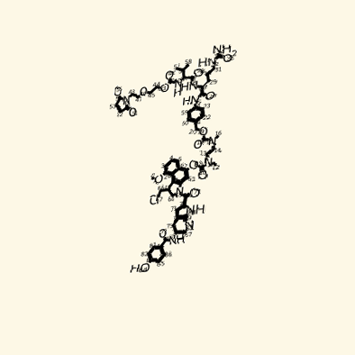 COc1cccc2c(OC(=O)N(C)CCN(C)C(=O)OCc3ccc(NC(=O)[C@H](CCCNC(N)=O)NC(=O)[C@@H](NC(=O)OCCOCCN4C(=O)C=CC4=O)C(C)C)cc3)cc3c(c12)C(CCl)CN3C(=O)c1cc2cc(NC(=O)c3ccc(O)cc3)cnc2[nH]1